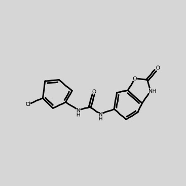 O=C(Nc1cccc(Cl)c1)Nc1ccc2[nH]c(=O)oc2c1